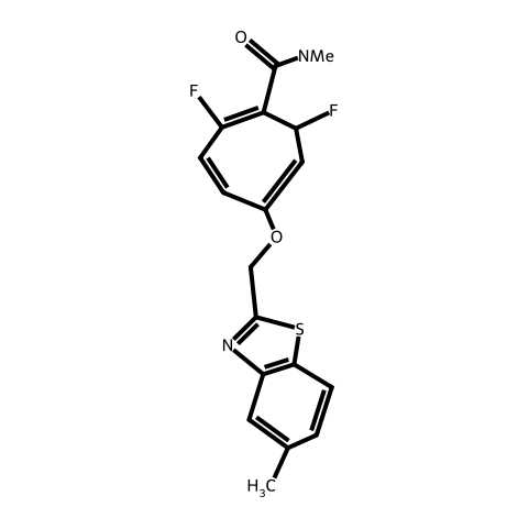 CNC(=O)C1=C(F)C=CC(OCc2nc3cc(C)ccc3s2)=CC1F